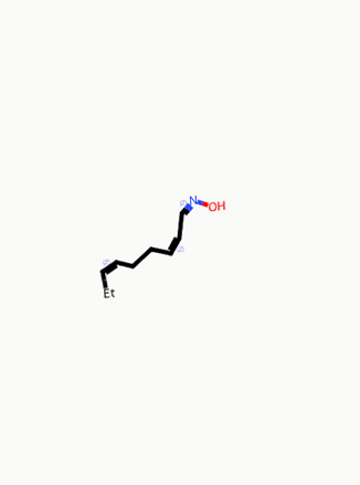 CC/C=C\CC/C=C\C=N/O